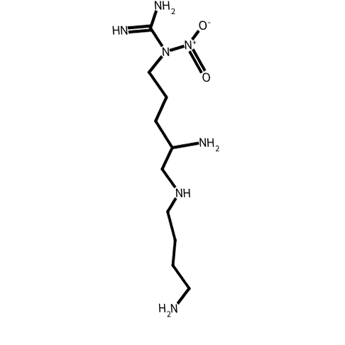 N=C(N)N(CCCC(N)CNCCCCN)[N+](=O)[O-]